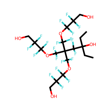 CCC(O)(CC)C(F)(F)C(C(F)(F)OC(F)(F)C(F)(F)CO)(C(F)(F)OC(F)(F)C(F)(F)CO)C(F)(F)OC(F)(F)C(F)(F)CO